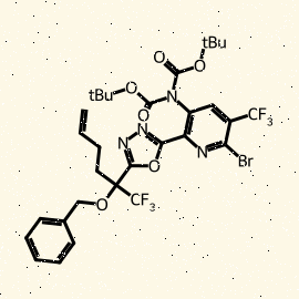 C=CCCC(OCc1ccccc1)(c1nnc(-c2nc(Br)c(C(F)(F)F)cc2N(C(=O)OC(C)(C)C)C(=O)OC(C)(C)C)o1)C(F)(F)F